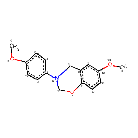 COc1ccc(N2COc3ccc(OC)cc3C2)cc1